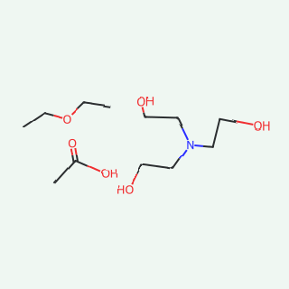 CC(=O)O.CCOCC.OCCN(CCO)CCO